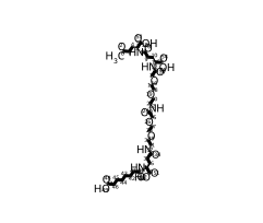 CC(=O)CC[C@H](NC(=O)CC[C@H](NC(=O)COCCOCCNC(=O)COCCOCCNC(=O)CC[C@H](NC(=O)CCCCCCC(=O)O)C(=O)O)C(=O)O)C(=O)O